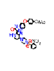 COc1ccc(Oc2ccc(-n3nc4c(c3C(N)=O)NCC[C@@H]4N3CCN(S(=O)(=O)c4ccccc4[N+](=O)[O-])CC3)cc2)cc1